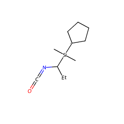 CCC(N=C=O)[Si](C)(C)[C]1CCCC1